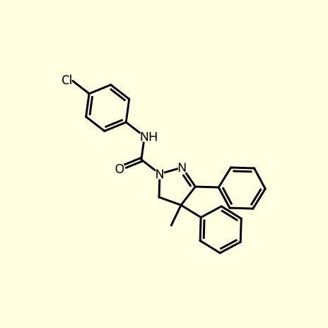 CC1(c2ccccc2)CN(C(=O)Nc2ccc(Cl)cc2)N=C1c1ccccc1